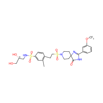 Cc1cc(S(=O)(=O)NC[C@@H](O)CO)ccc1CCS(=O)(=O)N1CCC2(CC1)N=C(c1cccc(OC(F)(F)F)c1)NC2=O